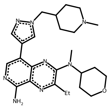 CCc1nc2c(N)ncc(-c3cnn(CC4CCN(C)CC4)c3)c2nc1N(C)C1CCOCC1